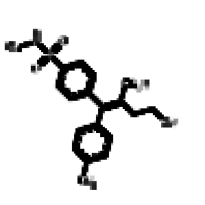 Cc1ccc(C(=C(CCO)C(=O)O)c2ccc(S(=O)(=O)NC(C)(C)C)cc2)cc1